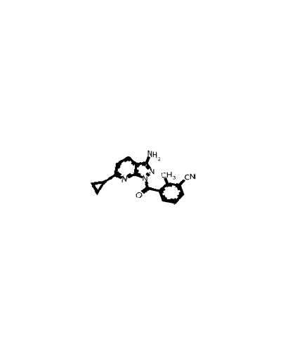 Cc1c(C#N)cccc1C(=O)n1nc(N)c2ccc(C3CC3)nc21